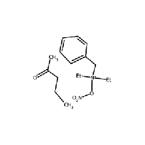 CCCC(C)=O.CC[N+](CC)(Cc1ccccc1)O[N+](=O)[O-]